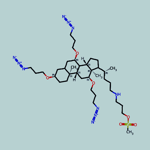 C[C@H](CCCNCCCOS(C)(=O)=O)C1CC[C@H]2C3[C@H](OCCCN=[N+]=[N-])CC4C[C@H](OCCCN=[N+]=[N-])CC[C@]4(C)[C@H]3C[C@H](OCCCN=[N+]=[N-])[C@]12C